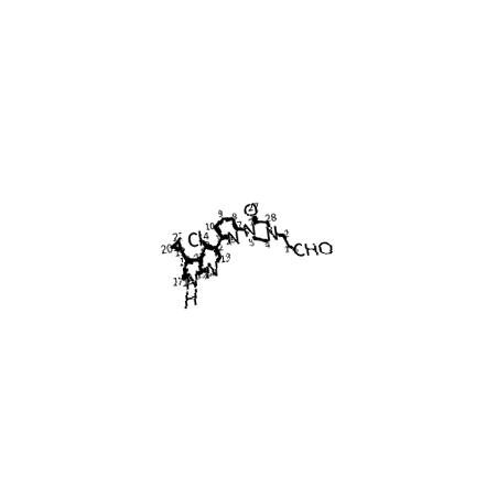 O=CCCN1CCN(c2cccc(-c3cnc4[nH]cc(C5CC5)c4c3Cl)n2)C(=O)C1